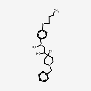 CCCCOc1ccc(N(C)CC(O)C2(O)CCN(Cc3ccccc3)CC2)cc1